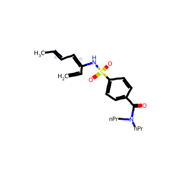 C=C/C(=C\C=C\C)NS(=O)(=O)c1ccc(C(=O)N(CCC)CCC)cc1